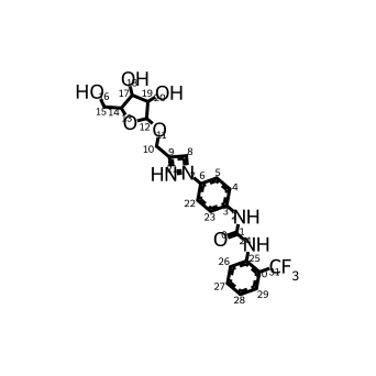 O=C(Nc1ccc(-n2cc(COC3OC(CO)C(O)C3O)[nH]2)cc1)Nc1ccccc1C(F)(F)F